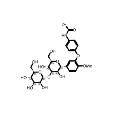 COc1ccc([C@H]2O[C@H](CO)[C@@H](O)[C@H](O[C@H]3O[C@H](CO)[C@@H](O)[C@H](O)[C@@H]3O)[C@@H]2O)cc1Oc1ccc(NC(=O)C(C)C)cc1